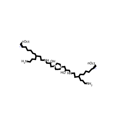 CCCCCCCC/C=C\CCCCCC(CCCN)CCNCC(O)CN1CCN(CC(O)CNCCC(CCCN)CCCCC/C=C\CCCCCCCC)CC1